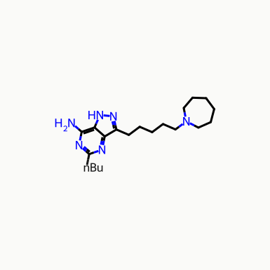 CCCCc1nc(N)c2[nH]nc(CCCCCN3CCCCCC3)c2n1